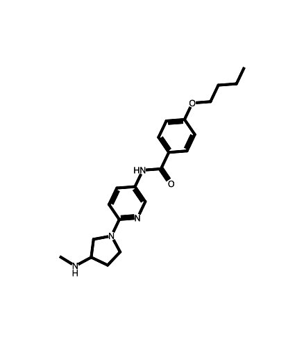 CCCCOc1ccc(C(=O)Nc2ccc(N3CCC(NC)C3)nc2)cc1